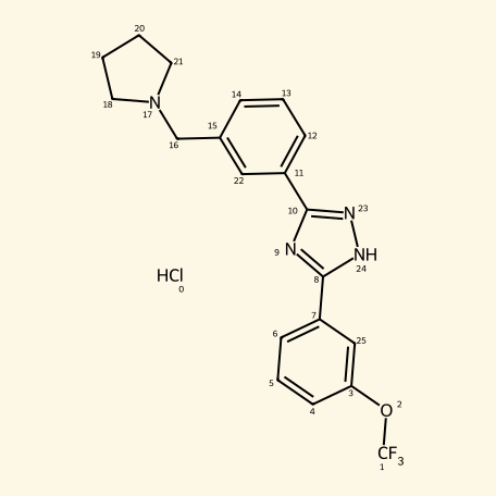 Cl.FC(F)(F)Oc1cccc(-c2nc(-c3cccc(CN4CCCC4)c3)n[nH]2)c1